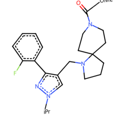 COC(=O)N1CCC2(CCCN2Cc2cn(C(C)C)nc2-c2ccccc2F)CC1